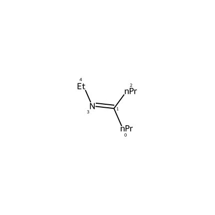 [CH2]CC/C(CCC)=N/CC